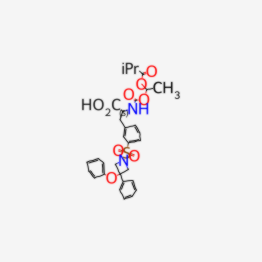 CC(OC(=O)N[C@@H](Cc1cccc(S(=O)(=O)N2CC(Oc3ccccc3)(c3ccccc3)C2)c1)C(=O)O)OC(=O)C(C)C